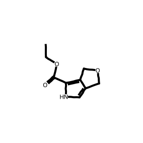 CCOC(=O)c1[nH]cc2c1COC2